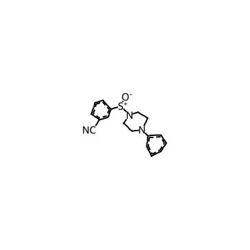 N#Cc1cccc([S+]([O-])N2CCN(c3ccccc3)CC2)c1